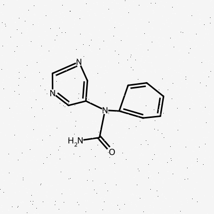 NC(=O)N(c1ccccc1)c1cncnc1